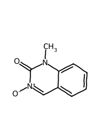 Cn1c(=O)[n+]([O-])cc2ccccc21